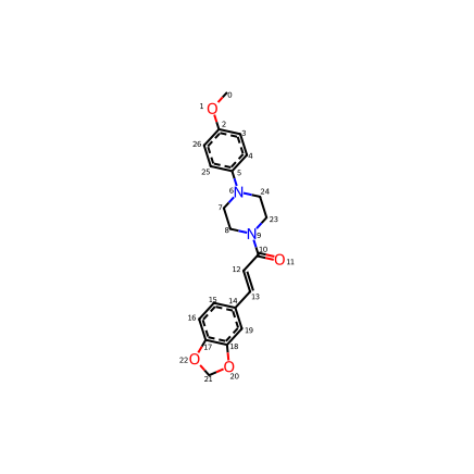 COc1ccc(N2CCN(C(=O)/C=C/c3ccc4c(c3)OCO4)CC2)cc1